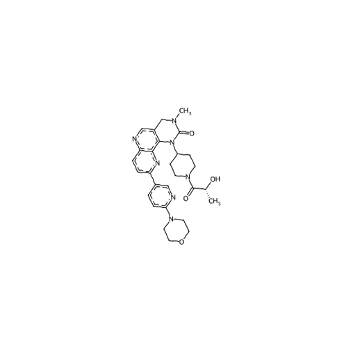 C[C@@H](O)C(=O)N1CCC(N2C(=O)N(C)Cc3cnc4ccc(-c5ccc(N6CCOCC6)nc5)nc4c32)CC1